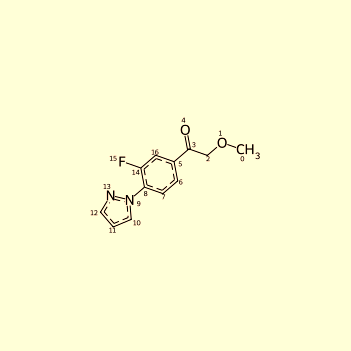 COCC(=O)c1ccc(-n2cccn2)c(F)c1